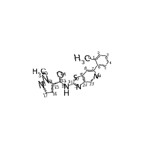 Cc1ccccc1-c1cc2sc(NC(=O)c3ccnn3C)nc2cn1